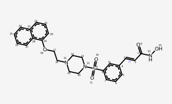 O=C(/C=C/c1cccc(S(=O)(=O)N2CCN(CCOc3cccc4ccccc34)CC2)c1)NO